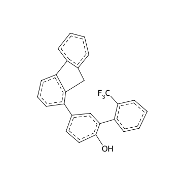 Oc1ccc(-c2cccc3c2Cc2ccccc2-3)cc1-c1ccccc1C(F)(F)F